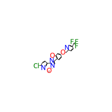 COCn1cc(-c2ccc(OCc3ccc(C(F)(F)F)cn3)cc2OC)nc1-c1ccc(Cl)nc1